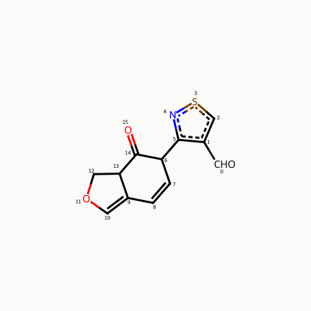 O=Cc1csnc1C1C=CC2=COCC2C1=O